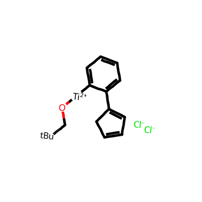 CC(C)(C)C[O][Ti+2][c]1ccccc1C1=CC=CC1.[Cl-].[Cl-]